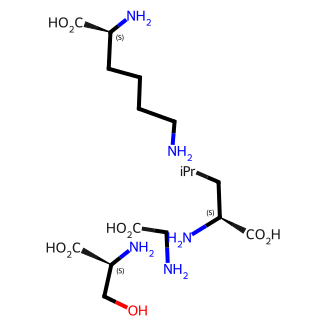 CC(C)C[C@H](N)C(=O)O.NCC(=O)O.NCCCC[C@H](N)C(=O)O.N[C@@H](CO)C(=O)O